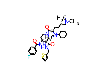 CN(C)CCCC[C@H](C(=O)N1CC[C@@H](NC(=O)c2ccc(F)cc2)[C@@H](C(=O)NCc2cccs2)C1)N(C)C1CCCCC1